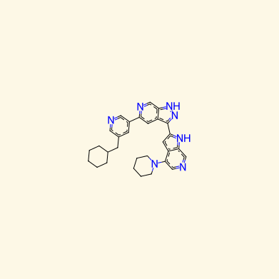 c1ncc(-c2cc3c(-c4cc5c(N6CCCCC6)cncc5[nH]4)n[nH]c3cn2)cc1CC1CCCCC1